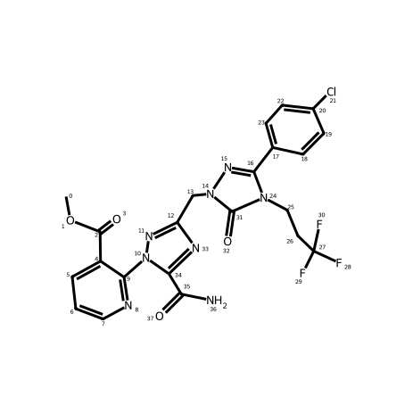 COC(=O)c1cccnc1-n1nc(Cn2nc(-c3ccc(Cl)cc3)n(CCC(F)(F)F)c2=O)nc1C(N)=O